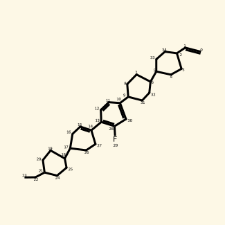 C=CC1CCC(C2CCC(c3ccc(C4=CCC(C5CCC(CC)CC5)CC4)c(F)c3)CC2)CC1